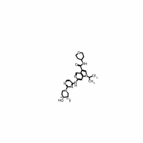 CC(n1cc(C(=O)NC2CCOCC2)c2cnc(Nc3ccnc(N4CC[C@@H](O)[C@@H](F)C4)n3)cc21)C(F)(F)F